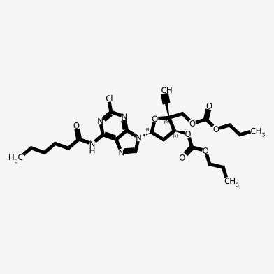 C#C[C@]1(COC(=O)OCCC)O[C@@H](n2cnc3c(NC(=O)CCCCC)nc(Cl)nc32)C[C@@H]1OC(=O)OCCC